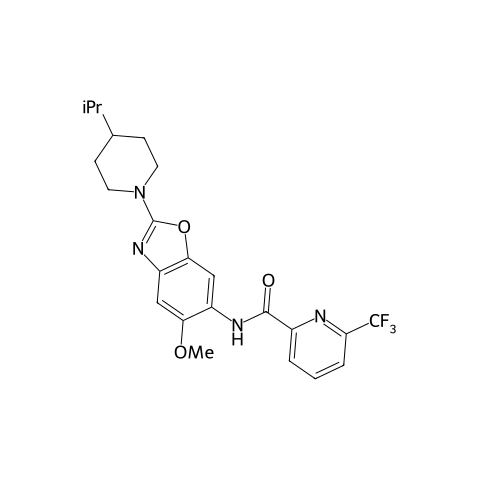 COc1cc2nc(N3CCC(C(C)C)CC3)oc2cc1NC(=O)c1cccc(C(F)(F)F)n1